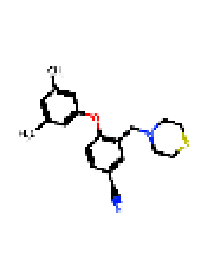 Cc1cc(C)cc(Oc2ccc(C#N)cc2CN2CCSCC2)c1